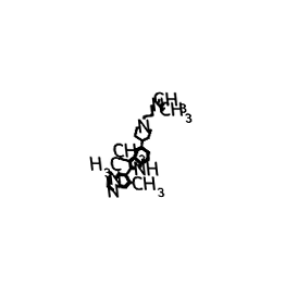 Cc1cc2nccn2cc1-c1[nH]c2ccc(C3CCN(CCCN(C)C)CC3)cc2c1C(C)C